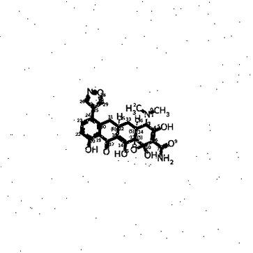 CN(C)[C@@H]1C(O)=C(C(N)=O)C2(O)O[C@@]23C(O)=C2C(=O)c4c(O)ccc(-c5cnoc5)c4C[C@H]2C[C@@H]13